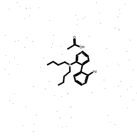 CC(=O)O.CCCCP(CCCC)c1ccccc1-c1cccc[c]1[Pd]